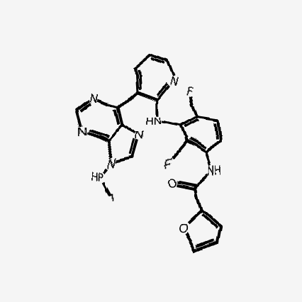 O=C(Nc1ccc(F)c(Nc2ncccc2-c2ncnc3c2ncn3PI)c1F)c1ccco1